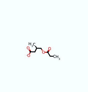 CCC(=O)OCC(C)CC([O])=O